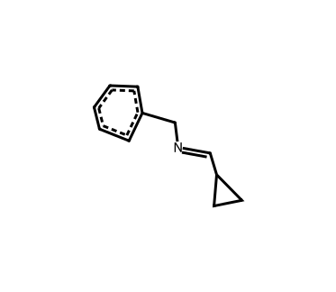 C(=NCc1ccccc1)C1CC1